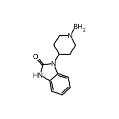 BN1CCC(n2c(=O)[nH]c3ccccc32)CC1